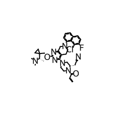 C=CC(=O)N1CCN(c2nc(OCC3([C@H](C)N(C)C)CC3)nc3c2CCN(c2cccc4ccc(F)c(Cl)c24)C3)C[C@@H]1CC#N